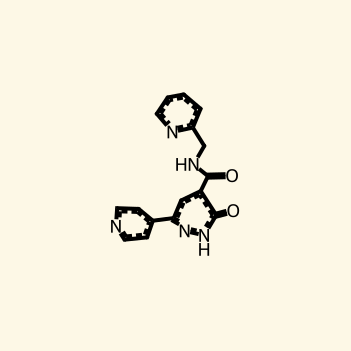 O=C(NCc1ccccn1)c1cc(-c2ccncc2)n[nH]c1=O